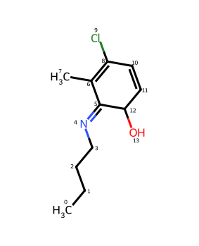 CCCCN=C1C(C)=C(Cl)C=CC1O